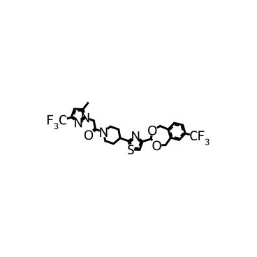 Cc1cc(C(F)(F)F)nn1CC(=O)N1CCC(c2nc(C3OCc4ccc(C(F)(F)F)cc4CO3)cs2)CC1